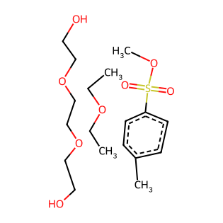 CCOCC.COS(=O)(=O)c1ccc(C)cc1.OCCOCCOCCO